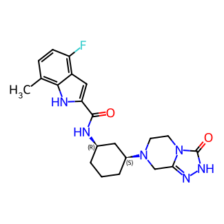 Cc1ccc(F)c2cc(C(=O)N[C@@H]3CCC[C@H](N4CCn5c(n[nH]c5=O)C4)C3)[nH]c12